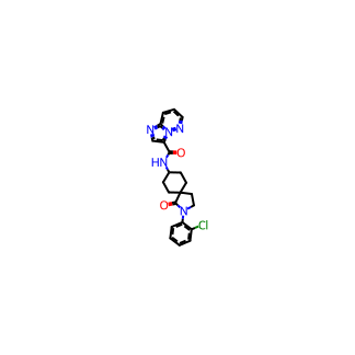 O=C(NC1CCC2(CC1)CCN(c1ccccc1Cl)C2=O)c1cnc2cccnn12